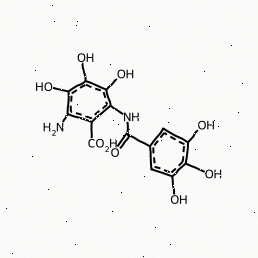 Nc1c(O)c(O)c(O)c(NC(=O)c2cc(O)c(O)c(O)c2)c1C(=O)O